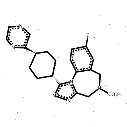 O=C(O)N1Cc2cc(Cl)ccc2-n2c(nnc2[C@H]2CC[C@H](c3cnccn3)CC2)C1